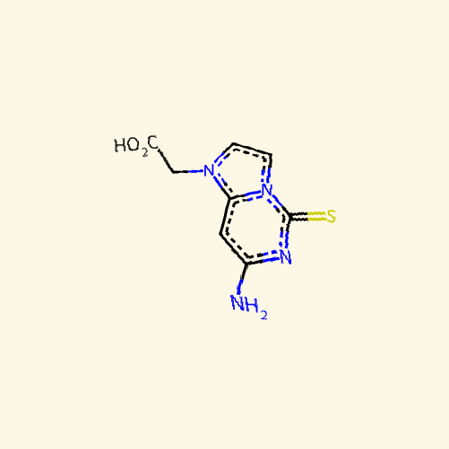 Nc1cc2n(CC(=O)O)ccn2c(=S)n1